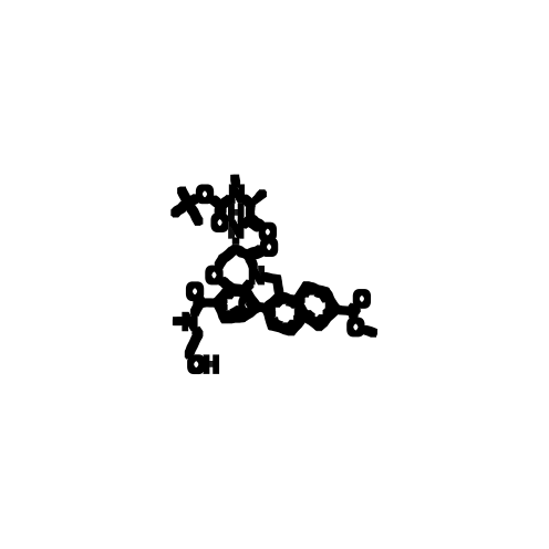 COC(=O)c1ccc2c(CN3C(=O)[C@@H](NC(=O)[C@H](C)N(C)C(=O)OC(C)(C)C)COc4c(C(=O)N(C)CCO)cccc43)c(OC)ccc2c1